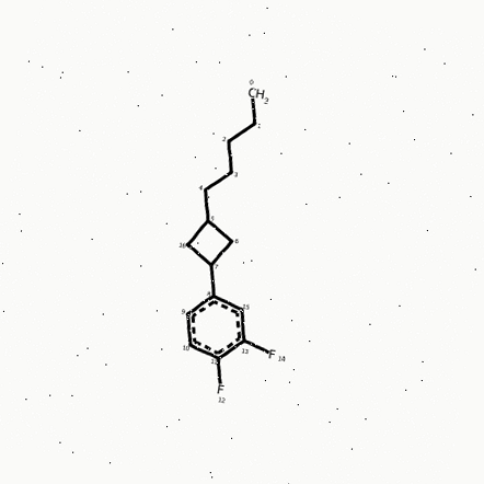 CCCCCC1CC(c2ccc(F)c(F)c2)C1